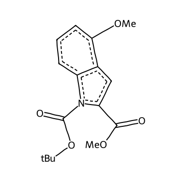 COC(=O)c1cc2c(OC)cccc2n1C(=O)OC(C)(C)C